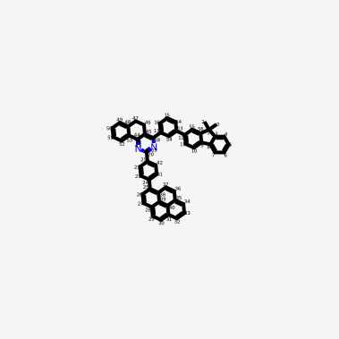 CC1(C)c2ccccc2-c2ccc(-c3cccc(-c4nc(-c5ccc(-c6ccc7ccc8cccc9ccc6c7c89)cc5)nc5c4CCc4ccccc4-5)c3)cc21